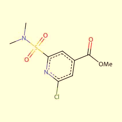 COC(=O)c1cc(Cl)nc(S(=O)(=O)N(C)C)c1